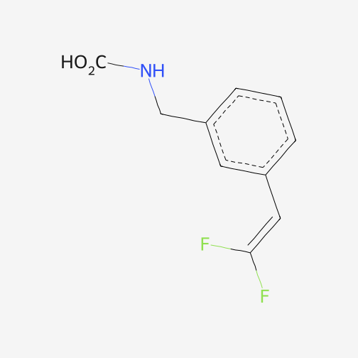 O=C(O)NCc1cccc(C=C(F)F)c1